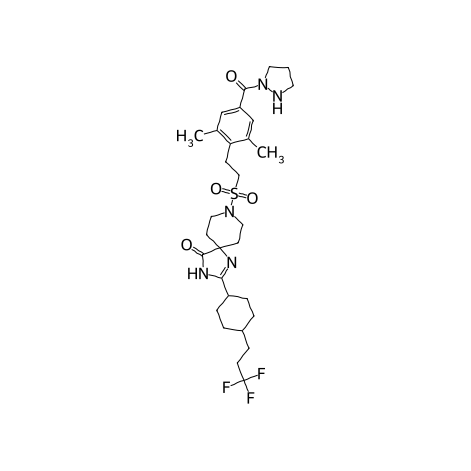 Cc1cc(C(=O)N2CCCN2)cc(C)c1CCS(=O)(=O)N1CCC2(CC1)N=C(C1CCC(CCC(F)(F)F)CC1)NC2=O